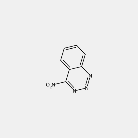 O=[N+]([O-])c1nnnc2ccccc12